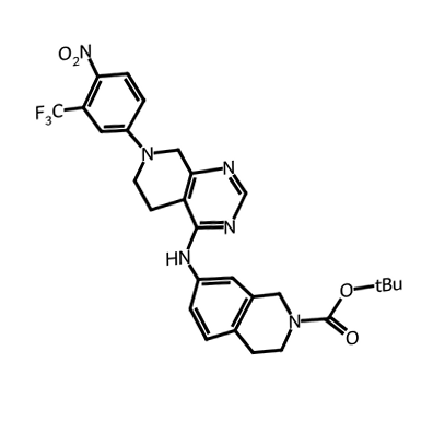 CC(C)(C)OC(=O)N1CCc2ccc(Nc3ncnc4c3CCN(c3ccc([N+](=O)[O-])c(C(F)(F)F)c3)C4)cc2C1